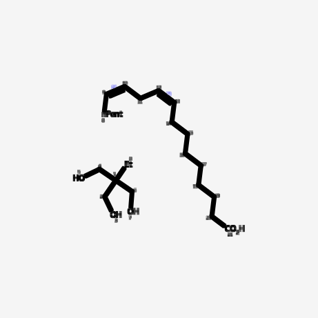 CCC(CO)(CO)CO.CCCCC/C=C\C/C=C\CCCCCCCC(=O)O